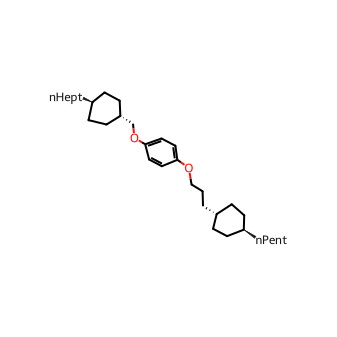 CCCCCCC[C@H]1CC[C@H](COc2ccc(OCCC[C@H]3CC[C@H](CCCCC)CC3)cc2)CC1